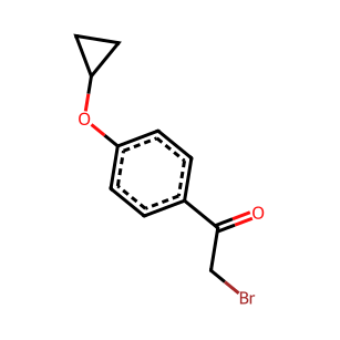 O=C(CBr)c1ccc(OC2CC2)cc1